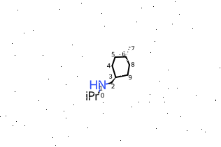 CC(C)NC[C@H]1CC[C@H](C)CC1